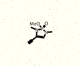 C#CC1=CN(C)P(=O)(OC)N1C